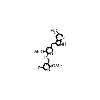 COc1cc(Cc2c[nH]c3ncc(C)cc23)cnc1NCc1cc(F)cnc1OC